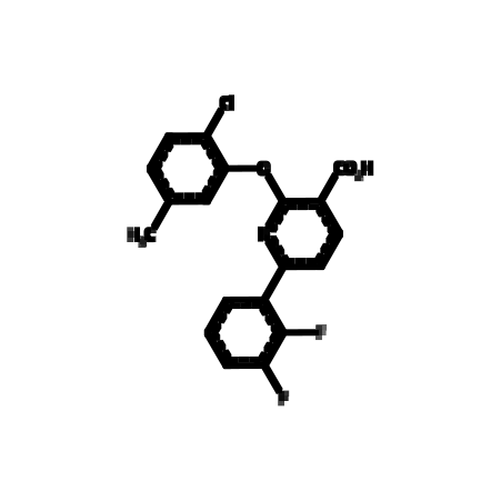 Cc1ccc(Cl)c(Oc2nc(-c3cccc(F)c3F)ccc2C(=O)O)c1